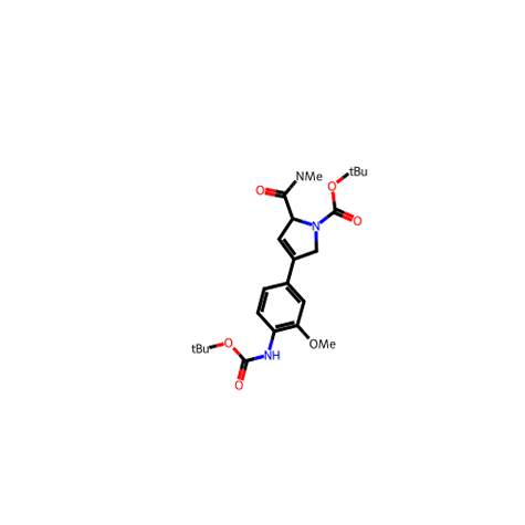 CNC(=O)C1C=C(c2ccc(NC(=O)OC(C)(C)C)c(OC)c2)CN1C(=O)OC(C)(C)C